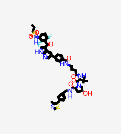 CCCS(=O)(=O)Nc1ccc(F)c(C(=O)c2c[nH]c3ncc(-c4ccc(C(=O)NCCCC(=O)N[C@H](C(=O)N5C[C@H](O)C[C@H]5C(=O)NCc5ccc(-c6scnc6C)cc5)C(C)(C)C)cc4)cc23)c1F